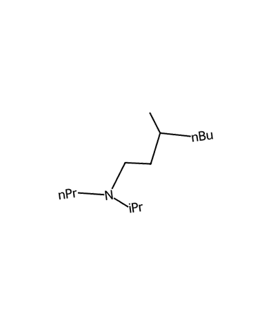 CCCCC(C)CCN(CCC)C(C)C